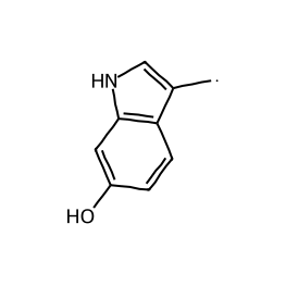 [CH2]c1c[nH]c2cc(O)ccc12